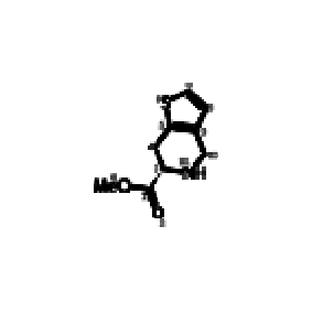 COC(=O)[C@@H]1Cc2sccc2CN1